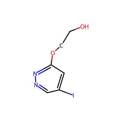 OCCOc1cc(I)cnn1